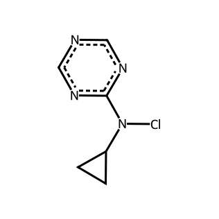 ClN(c1ncncn1)C1CC1